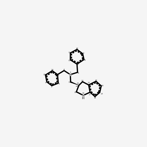 c1ccc(CN(Cc2ccccc2)C[C@@H]2CNc3ccccc3C2)cc1